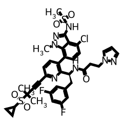 Cn1nc(NS(C)(=O)=O)c2c(Cl)ccc(-c3ccc(C#CC(C)(C)S(=O)(=O)C4CC4)nc3[C@H](Cc3cc(F)cc(F)c3)NC(=O)CCn3cccn3)c21